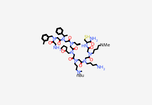 C=CCN(CC(=O)N(CC(=O)N(CCCN(C)CCCC)CC(=O)N(CCCCN)CC(=O)N(CCCCNC)CC(=O)NC(CS)C(N)=O)CC1CCCO1)C(=O)CN(C(=O)CN(Cc1cccc(C)c1)C(=O)CN)C(C)c1ccccc1